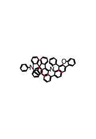 c1ccc(-c2cccc(-c3ccccc3N(c3ccccc3-c3cccc4c3oc3ccccc34)c3cccc4c3-c3ccccc3C43c4ccccc4N(c4ccccc4)c4ccccc43)c2)cc1